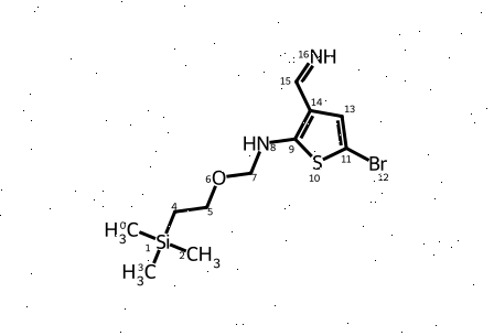 C[Si](C)(C)CCOCNc1sc(Br)cc1C=N